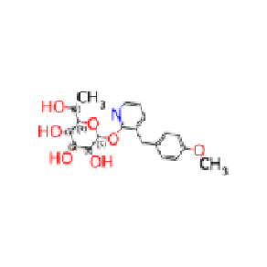 COc1ccc(Cc2cccnc2O[C@@H]2O[C@H]([C@@H](C)O)[C@@H](O)[C@H](O)[C@H]2O)cc1